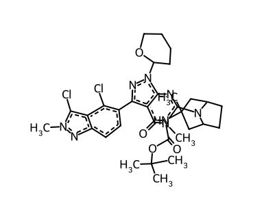 Cn1nc2ccc(-c3nn(C4CCCCO4)c4nc(N5C6CCC5CC(C)(NC(=O)OC(C)(C)C)C6)n(C)c(=O)c34)c(Cl)c2c1Cl